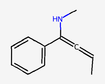 CC=C=C(NC)c1ccccc1